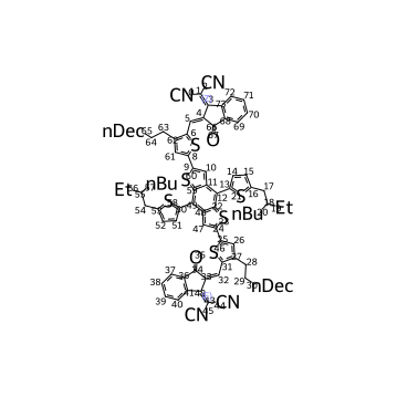 [C-]#[N+]/C(C#N)=C1\C(=Cc2sc(-c3cc4c(-c5ccc(CC(CC)CCCC)s5)c5sc(-c6cc(CCCCCCCCCCCC)c(C=C7C(=O)c8ccccc8/C7=C(/C#N)[N+]#[C-])s6)cc5c(-c5ccc(CC(CC)CCCC)s5)c4s3)cc2CCCCCCCCCCCC)C(=O)c2ccccc21